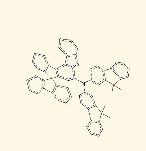 CC1(C)c2ccccc2-c2ccc(N(c3ccc4c(c3)C(C)(C)c3ccccc3-4)c3cc4c(c5c3sc3ccccc35)-c3ccccc3C43c4ccccc4-c4ccccc43)cc21